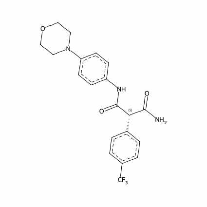 NC(=O)[C@@H](C(=O)Nc1ccc(N2CCOCC2)cc1)c1ccc(C(F)(F)F)cc1